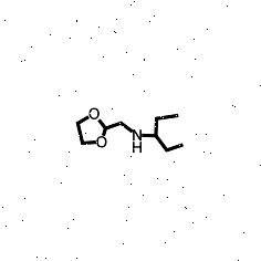 CCC(CC)NCC1OCCO1